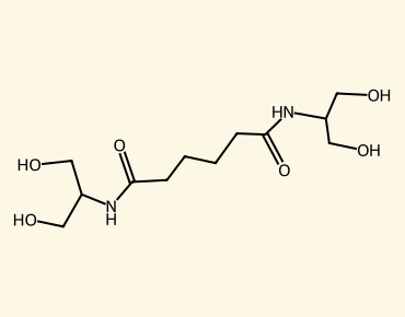 O=C(CCCCC(=O)NC(CO)CO)NC(CO)CO